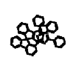 c1ccc(-c2nc(-c3ccccc3)nc(-c3cccc4c3C3(c5ccccc5-4)c4ccccc4-c4c3ccc3c4oc4ccccc43)n2)cc1